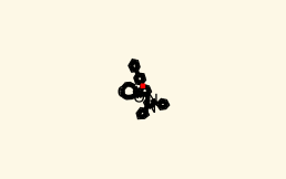 c1ccccc2c(ccc1)oc1c(-c3cc(-c4ccccc4)nc(-c4ccccc4)n3)ccc(-c3ccc(-c4ccccc4)cc3)c12